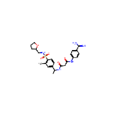 CC(NC(=O)CC(=O)Nc1ccc(C(=N)N)cc1)c1ccc(S(=O)(=O)NCC2CCCO2)c(C(F)(F)F)c1